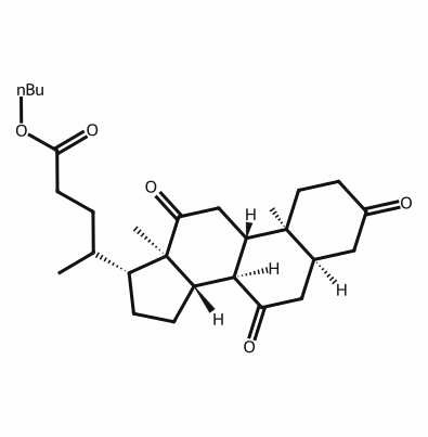 CCCCOC(=O)CCC(C)[C@H]1CC[C@H]2[C@@H]3C(=O)C[C@@H]4CC(=O)CC[C@]4(C)[C@H]3CC(=O)[C@]12C